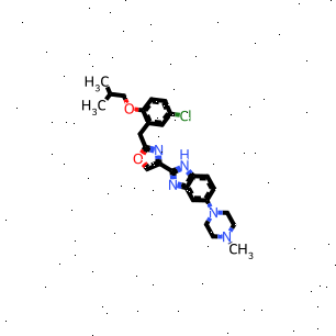 CC(C)COc1ccc(Cl)cc1Cc1nc(-c2nc3cc(N4CCN(C)CC4)ccc3[nH]2)co1